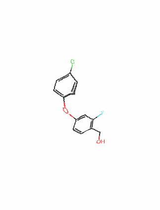 OCc1ccc(Oc2ccc(Cl)cc2)cc1F